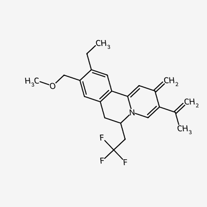 C=C(C)C1=CN2C(=CC1=C)c1cc(CC)c(COC)cc1CC2CC(F)(F)F